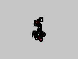 Cn1c(=O)n(C2CCN(CCCn3nc(-c4ccc(C(F)(F)F)c(SCC(=O)N5CCOCC5)c4)c4c3CCN(S(C)(=O)=O)C4)CC2)c2cc(Cl)ccc21